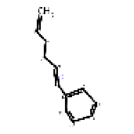 C=CCC/C=C/c1ccccc1